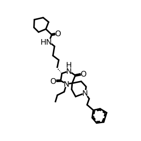 CCCN1C(=O)[C@H](CCCCNC(=O)C2CCCCC2)NC(=O)C12CCN(CCc1ccccc1)CC2